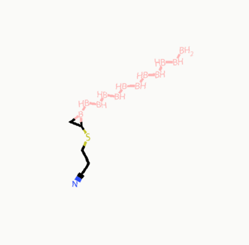 BBBBBBBBBBBB1CC1SCCC#N